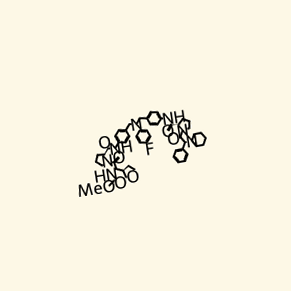 COC(=O)N[C@H](C(=O)N1CCC[C@H]1C(=O)Nc1ccc(CN(Cc2ccc(NC(=O)[C@@H]3CCCN3C(=O)[C@@H](c3ccccc3)N3CCCCC3)cc2)c2ccc(F)cc2)cc1)[C@H]1CCOC1